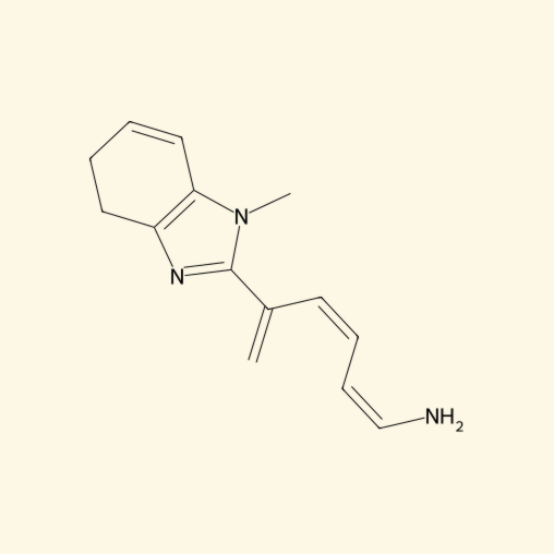 C=C(/C=C\C=C/N)c1nc2c(n1C)C=CCC2